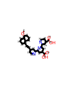 COc1cccc2c(C#Cc3ccnc(-c4cc(C(=O)O)cc(-c5cc(C(=O)O)ccn5)n4)c3)cccc12